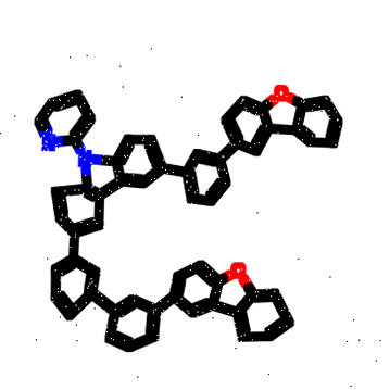 c1ccc(-n2c3ccc(-c4cccc(-c5cccc(-c6ccc7oc8ccccc8c7c6)c5)c4)cc3c3cc(-c4cccc(-c5ccc6oc7ccccc7c6c5)c4)ccc32)nc1